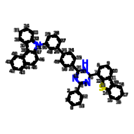 c1ccc(C2=NC(c3cccc4c3sc3ccccc34)NC(c3ccc(-c4cccc(-n5c6ccccc6c6c7ccccc7ccc65)c4)cc3)=N2)cc1